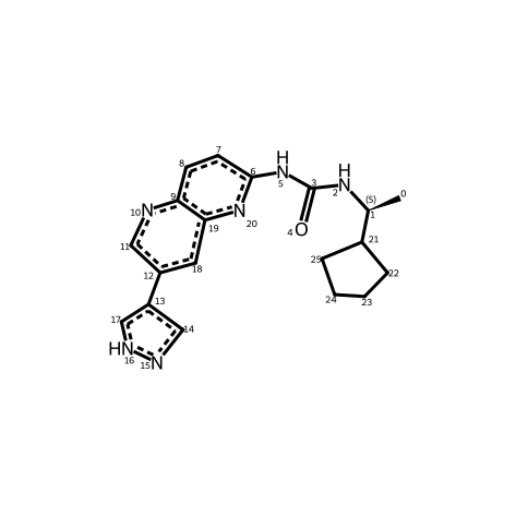 C[C@H](NC(=O)Nc1ccc2ncc(-c3cn[nH]c3)cc2n1)C1CCCC1